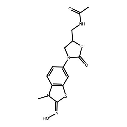 CC(=O)NCC1CN(c2ccc3c(c2)sc(=NO)n3C)C(=O)O1